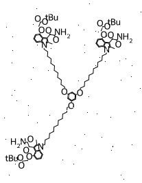 Cc1c(C(=O)C(N)=O)c2c(OCC(=O)OC(C)(C)C)cccc2n1CCCCCCCCCCCCOc1cc(OCCCCCCCCCCCCn2c(C)c(C(=O)C(N)=O)c3c(OCC(=O)OC(C)(C)C)cccc32)cc(OCCCCCCCCCCCCn2c(C)c(C(=O)C(N)=O)c3c(OCC(=O)OC(C)(C)C)cccc32)c1